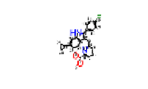 COC(=O)c1cccc(Cc2c(-c3ccc(F)cc3)[nH]c3cc(C4CC4)ccc23)n1